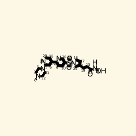 CN1CCN(c2cc(-c3ccc(S(=O)(=O)n4ccc(/C=C/C(=O)NO)c4)cn3)ccn2)CC1